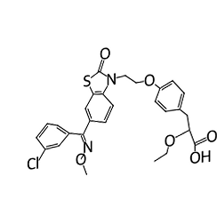 CCOC(Cc1ccc(OCCn2c(=O)sc3cc(C(=NOC)c4cccc(Cl)c4)ccc32)cc1)C(=O)O